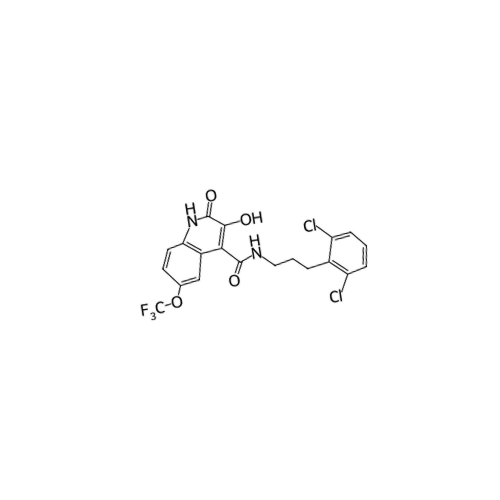 O=C(NCCCc1c(Cl)cccc1Cl)c1c(O)c(=O)[nH]c2ccc(OC(F)(F)F)cc12